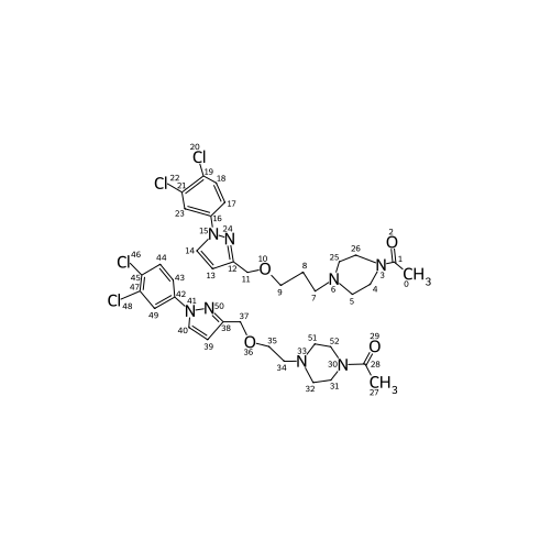 CC(=O)N1CCN(CCCOCc2ccn(-c3ccc(Cl)c(Cl)c3)n2)CC1.CC(=O)N1CCN(CCOCc2ccn(-c3ccc(Cl)c(Cl)c3)n2)CC1